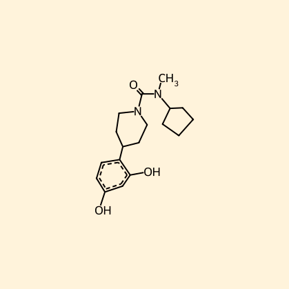 CN(C(=O)N1CCC(c2ccc(O)cc2O)CC1)C1CCCC1